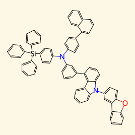 c1ccc([Si](c2ccccc2)(c2ccccc2)c2ccc(N(c3ccc(-c4cccc5ccccc45)cc3)c3cccc(-c4cccc5c4c4ccccc4n5-c4ccc5oc6ccccc6c5c4)c3)cc2)cc1